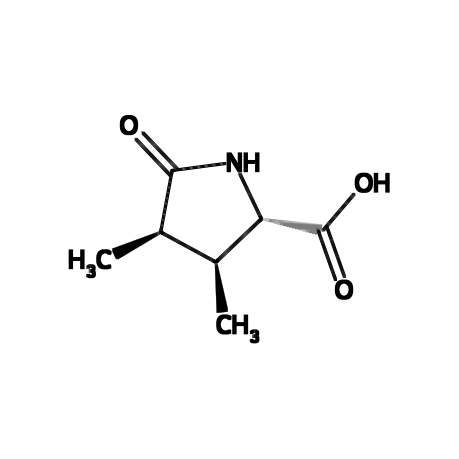 C[C@@H]1[C@@H](C(=O)O)NC(=O)[C@@H]1C